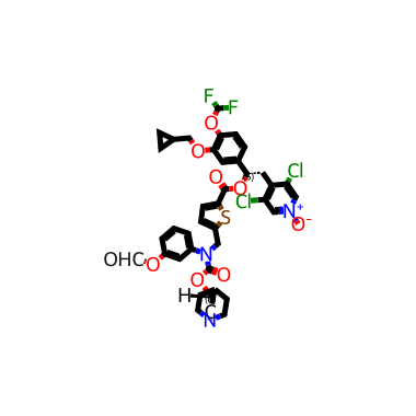 O=COc1cccc(N(Cc2ccc(C(=O)O[C@@H](Cc3c(Cl)c[n+]([O-])cc3Cl)c3ccc(OC(F)F)c(OCC4CC4)c3)s2)C(=O)O[C@H]2CN3CCC2CC3)c1